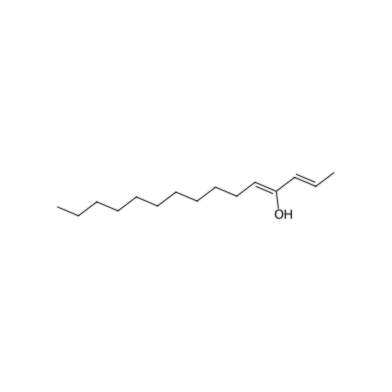 CC=CC(O)=CCCCCCCCCCC